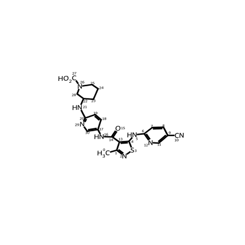 Cc1nsc(Nc2ccc(C#N)cn2)c1C(=O)Nc1ccc(NC2CCCN(C(=O)O)C2)nc1